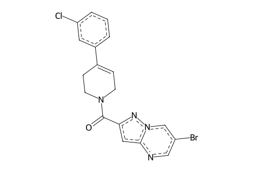 O=C(c1cc2ncc(Br)cn2n1)N1CC=C(c2cccc(Cl)c2)CC1